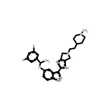 CC(Oc1ccc2[nH]nc(-c3nc4c([nH]3)CN(CCC3CCN(C)CC3)C4)c2c1)c1cc(F)cc(F)c1